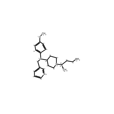 COc1ccc(N(Cc2cccnc2)C2CCN([C@H](C)CCN)CC2)cc1